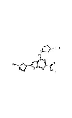 CC(C)n1ccc(-c2cc3c(N[C@@H]4CC[C@H](C=O)C4)nc(C(N)=O)nc3s2)n1